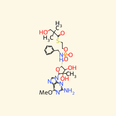 COc1nc(N)nc2c1ncn2C1O[C@H](COP(=O)(NCc2ccccc2)OCCSC(=O)C(C)(C)CO)C(O)[C@]1(C)O